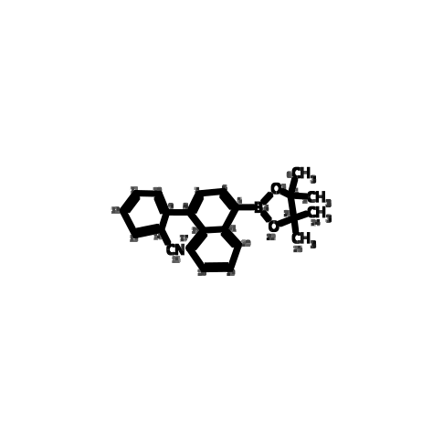 CC1(C)OB(c2ccc(-c3ccccc3C#N)c3ccccc23)OC1(C)C